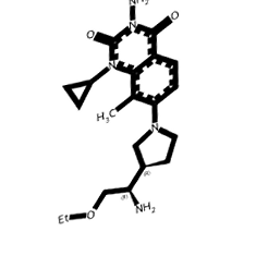 CCOC[C@H](N)[C@@H]1CCN(c2ccc3c(=O)n(N)c(=O)n(C4CC4)c3c2C)C1